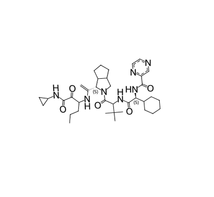 C=C(NC(CCC)C(=O)C(=O)NC1CC1)[C@@H]1C2CCCC2CN1C(=O)C(NC(=O)[C@@H](NC(=O)c1cnccn1)C1CCCCC1)C(C)(C)C